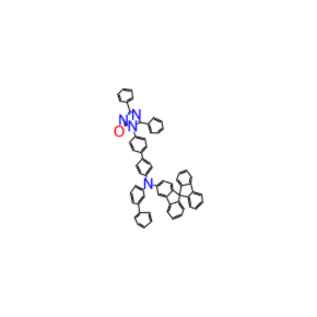 O=c1nc(-c2ccccc2)nc(-c2ccccc2)n1-c1ccc(-c2ccc(N(c3cccc(-c4ccccc4)c3)c3ccc4c(c3)-c3ccccc3C43c4ccccc4-c4ccccc43)cc2)cc1